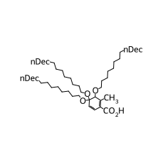 CCCCCCCCCCCCCCCCCCOC1C(C)=C(C(=O)O)C=CC1(OCCCCCCCCCCCCCCCCCC)OCCCCCCCCCCCCCCCCCC